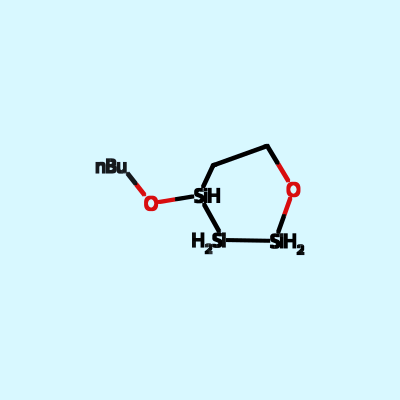 CCCCO[SiH]1CCO[SiH2][SiH2]1